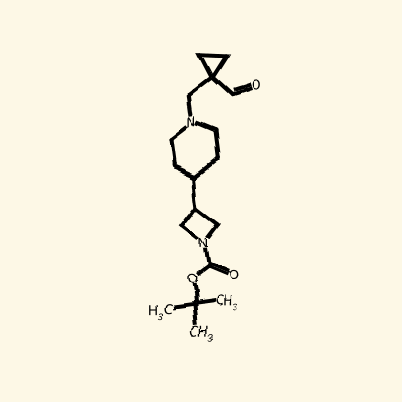 CC(C)(C)OC(=O)N1CC(C2CCN(CC3(C=O)CC3)CC2)C1